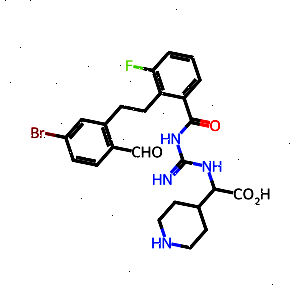 N=C(NC(=O)c1cccc(F)c1CCc1cc(Br)ccc1C=O)NC(C(=O)O)C1CCNCC1